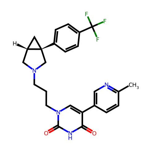 Cc1ccc(-c2cn(CCCN3C[C@@H]4C[C@]4(c4ccc(C(F)(F)F)cc4)C3)c(=O)[nH]c2=O)cn1